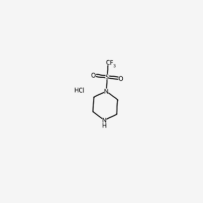 Cl.O=S(=O)(N1CCNCC1)C(F)(F)F